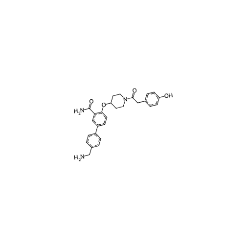 NCc1ccc(-c2ccc(OC3CCN(C(=O)Cc4ccc(O)cc4)CC3)c(C(N)=O)c2)cc1